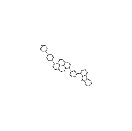 c1cc(-c2ccc3ccc4c(-c5ccc(-c6ccncc6)cc5)ccc5ccc2c3c54)cc(-c2cccc3c2oc2ccccc23)c1